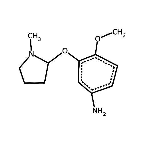 COc1ccc(N)cc1OC1CCCN1C